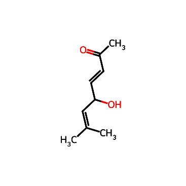 CC(=O)/C=C/C(O)C=C(C)C